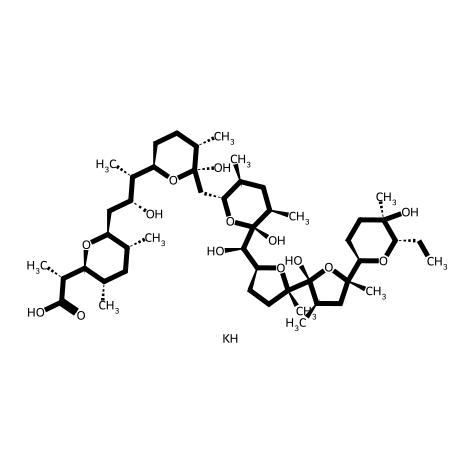 CC[C@@H]1O[C@@H]([C@]2(C)C[C@@H](C)[C@](O)([C@]3(C)CC[C@@H]([C@@H](O)[C@]4(O)O[C@H](C[C@@]5(O)O[C@@H]([C@@H](C)[C@H](O)C[C@@H]6O[C@H]([C@@H](C)C(=O)O)[C@@H](C)C[C@H]6C)CC[C@@H]5C)[C@@H](C)C[C@H]4C)O3)O2)CC[C@@]1(C)O.[KH]